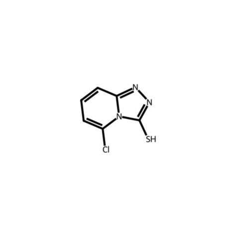 Sc1nnc2cccc(Cl)n12